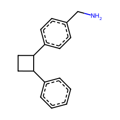 NCc1ccc(C2CCC2c2ccccc2)cc1